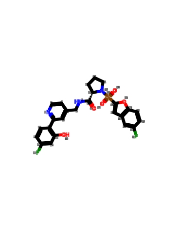 O=C(NCc1ccnc(-c2ccc(F)cc2O)c1)[C@@H]1CCCN1S(=O)(=O)c1cc2cc(F)ccc2o1